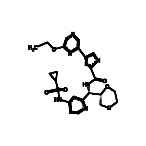 CCOc1cncc(-c2cnc(C(=O)N[C@@H](c3cc(NS(=O)(=O)C4CC4)ccn3)[C@H]3COCCO3)s2)n1